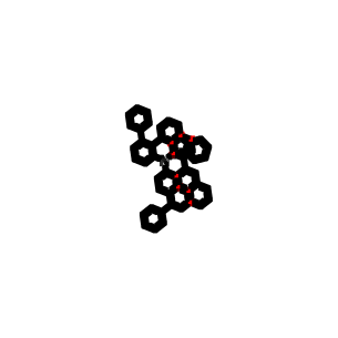 c1ccc(-c2cccc(N(c3ccc4c(-c5ccccc5)cccc4c3)c3ccccc3-c3ccc4ccccc4c3)c2-c2cccc3c2oc2ccccc23)cc1